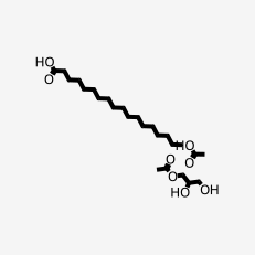 CC(=O)O.CC(=O)OCC(O)CO.CCCCCCCCCCCCCCCCCC(=O)O